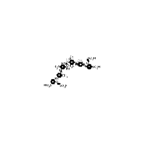 CCOc1cc(N=Nc2ccc(N=Nc3ccc(S(=O)(=O)O)cc3OCCS(=O)(=O)O)cc2C)c(C)cc1NC(=O)Nc1cc(C)c(N=Nc2ccc(N=Nc3ccc(S(=O)(=O)O)cc3OCCS(=O)(=O)O)cc2C)cc1OCC